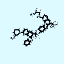 C[C@@H](N)CNc1ccc2cc(C(C)(C)O)c3nc4cc(OC(C)(C)c5cc6ccc(N7CCC[C@H](N)C7)nc6n6c5nc5ccccc56)ccc4n3c2n1